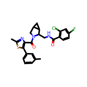 Cc1cccc(-c2sc(C)nc2C(=O)N2CC3CC3C2CNC(=O)c2ccc(F)cc2Cl)c1